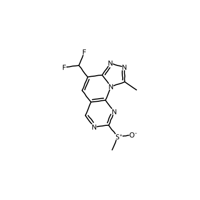 Cc1nnc2c(C(F)F)cc3cnc([S+](C)[O-])nc3n12